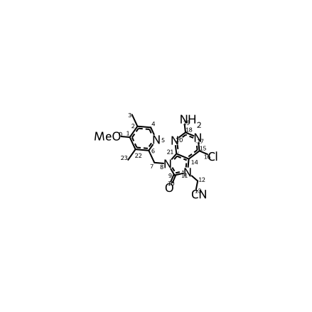 COc1c(C)cnc(Cn2c(=O)n(CC#N)c3c(Cl)nc(N)nc32)c1C